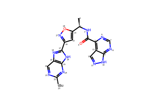 C[C@@H](NC(=O)c1ncnc2[nH]ncc12)c1cc(-c2nc3cnc(C(C)(C)C)nc3[nH]2)no1